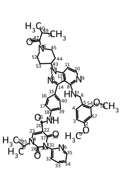 COc1ccc(CNc2nccc3c2c(-c2ccc(NC(=O)c4cn(C(C)C)c(=O)n(-c5ccccn5)c4=O)cc2)nn3C2CCN(C(=O)C(C)C)CC2)c(OC)c1